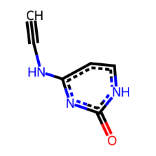 C#CNc1cc[nH]c(=O)n1